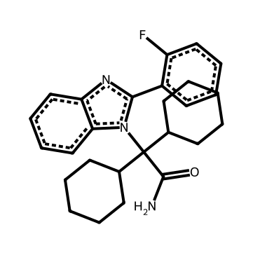 NC(=O)C(C1CCCCC1)(C1CCCCC1)n1c(-c2ccccc2F)nc2ccccc21